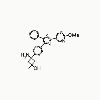 COc1ncc(-c2nc(-c3ccc(C4(N)CC(C)(O)C4)cc3)c(-c3ccccc3)s2)cn1